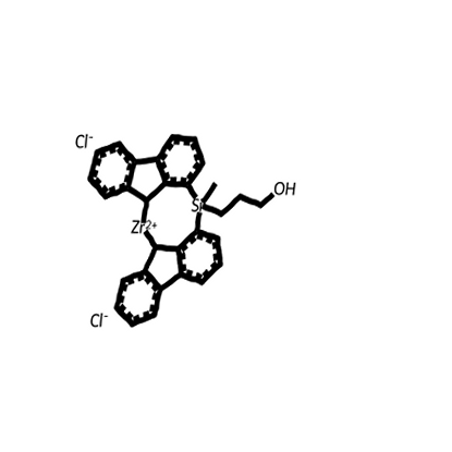 C[Si]1(CCCO)c2cccc3c2[CH]([Zr+2][CH]2c4ccccc4-c4cccc1c42)c1ccccc1-3.[Cl-].[Cl-]